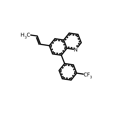 CC=Cc1cc(-c2cccc(C(F)(F)F)c2)c2ncccc2c1